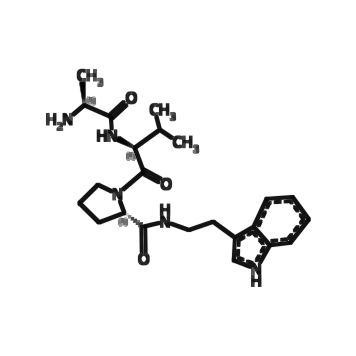 CC(C)[C@H](NC(=O)[C@H](C)N)C(=O)N1CCC[C@H]1C(=O)NCCc1c[nH]c2ccccc12